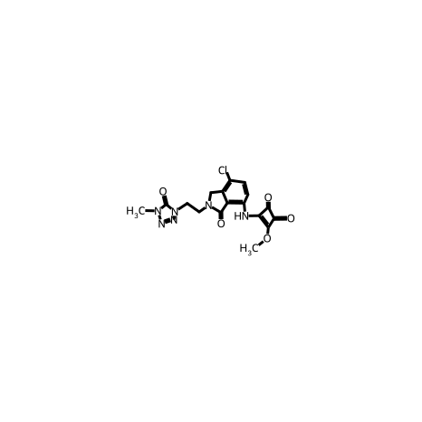 COc1c(Nc2ccc(Cl)c3c2C(=O)N(CCn2nnn(C)c2=O)C3)c(=O)c1=O